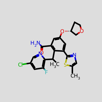 Cc1cnc(-c2cc(O[C@@H]3CCOC3)cc(C(N)=O)c2C(C)c2ncc(Cl)cc2F)s1